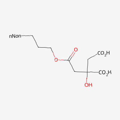 CCCCCCCCCCCCOC(=O)CC(O)(CC(=O)O)C(=O)O